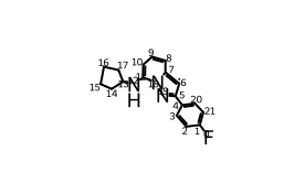 Fc1ccc(-c2[c]c3cccc(NC4CCCC4)n3n2)cc1